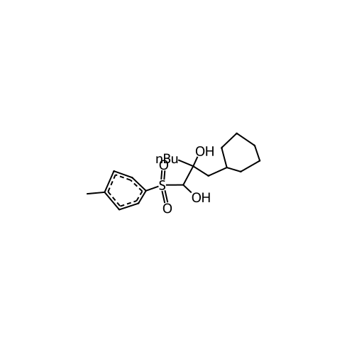 CCCCC(O)(CC1CCCCC1)C(O)S(=O)(=O)c1ccc(C)cc1